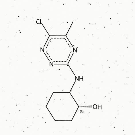 Cc1nc(NC2CCCC[C@H]2O)nnc1Cl